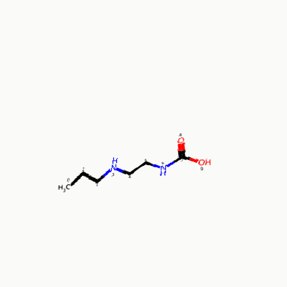 CCCNCCNC(=O)O